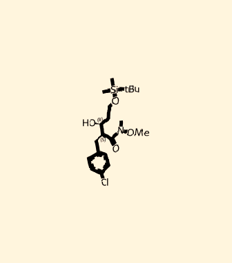 CON(C)C(=O)[C@@H](Cc1ccc(Cl)cc1)[C@H](O)CCO[Si](C)(C)C(C)(C)C